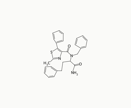 Cc1nc(C(=O)N(Cc2ccccc2)C(CCc2ccccc2)C(N)=O)c(-c2ccccc2)s1